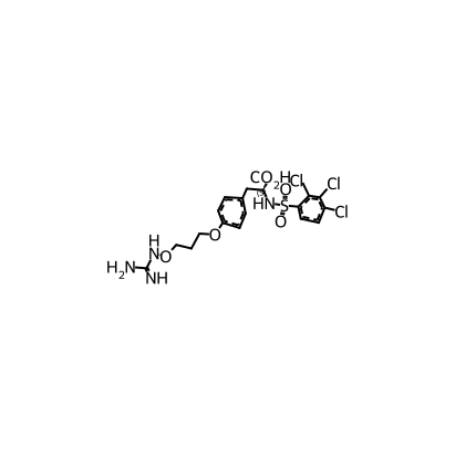 N=C(N)NOCCCOc1ccc(C[C@H](NS(=O)(=O)c2ccc(Cl)c(Cl)c2Cl)C(=O)O)cc1